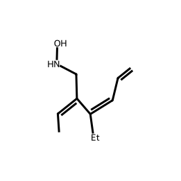 C=C/C=C(CC)\C(=C/C)CNO